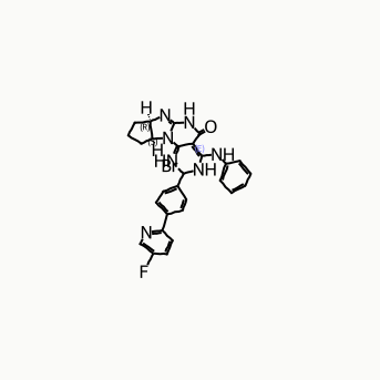 N=c1/c(=C(/Nc2ccccc2)NC(Br)c2ccc(-c3ccc(F)cn3)cc2)c(=O)[nH]c2n1[C@H]1CCC[C@H]1N=2